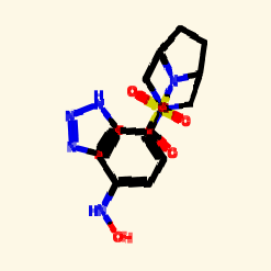 O=C(c1cnn[nH]1)N1CC2CCC(C1)N2S(=O)(=O)c1ccc(NO)cc1